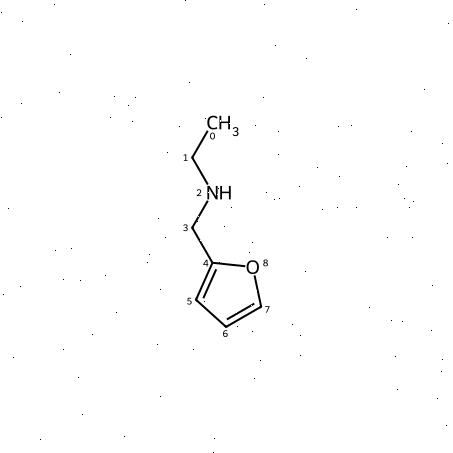 CCNCc1ccco1